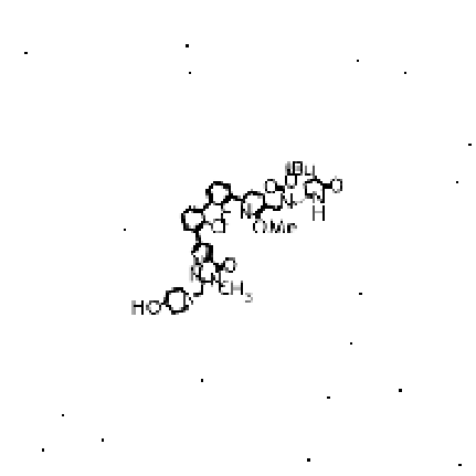 COc1nc(-c2cccc(-c3cccc(-c4cc5c(=O)n(C)c(CN6CCC(O)CC6)nn5c4)c3Cl)c2Cl)ccc1CN(C[C@@H]1CCC(=O)N1)C(=O)OC(C)(C)C